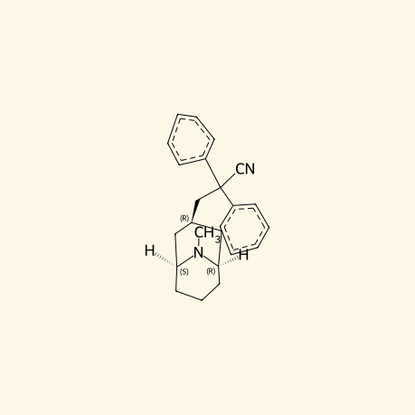 CN1[C@@H]2CCC[C@H]1C[C@@H](CC(C#N)(c1ccccc1)c1ccccc1)C2